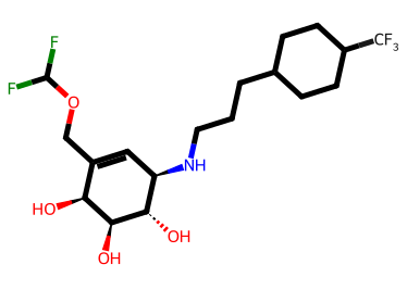 O[C@@H]1[C@@H](O)[C@@H](O)C(COC(F)F)=C[C@H]1NCCCC1CCC(C(F)(F)F)CC1